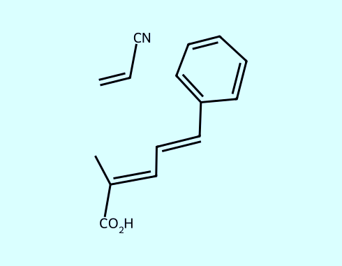 C=CC#N.CC(=CC=Cc1ccccc1)C(=O)O